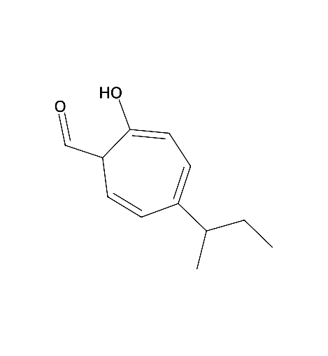 CCC(C)C1=CC=C(O)C(C=O)C=C1